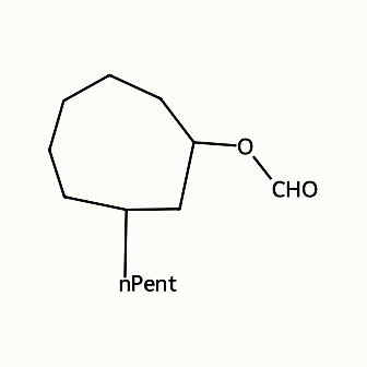 CCCCCC1CCCCCC(OC=O)C1